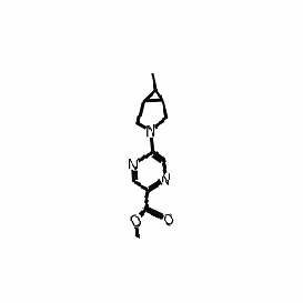 COC(=O)c1cnc(N2CC3C(C)C3C2)cn1